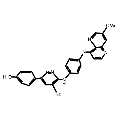 CCc1cc(-c2ccc(C)cc2)nnc1Nc1ccc(Nc2ccnc3cc(OC)cnc23)cc1